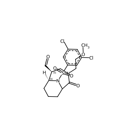 COCCN1C[C@H](C=O)[C@@H]2CCCC(C1=O)N2S(=O)(=O)c1cc(Cl)cc(Cl)c1